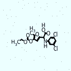 CCOC(=O)Oc1cc(C(Nc2cc(Cl)cc(Cl)c2)C(=O)O)oc1C